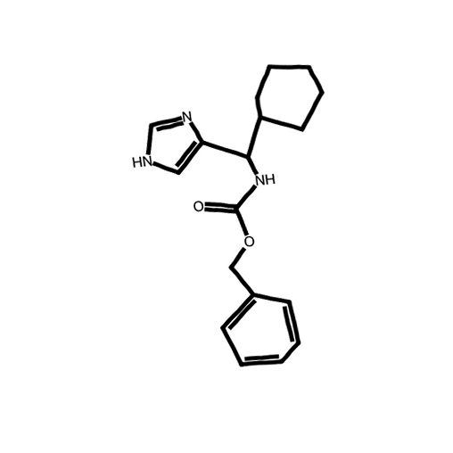 O=C(NC(c1c[nH]cn1)C1CCCCC1)OCc1ccccc1